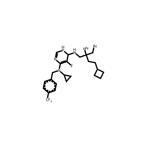 CCCC(CCC1CCC1)(CNC1PC=NC(N(Cc2ccc(C(F)(F)F)cc2)C2CC2)=C1F)CC(C)=O